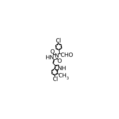 Cc1c(Cl)ccc2c(C=C3NC(=O)N(C(C=O)c4ccc(Cl)cc4)C3=O)c[nH]c12